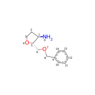 N[C@@H]1CCO[C@H]1COCc1ccccc1